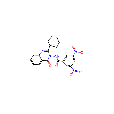 O=C(Nn1c(C2CCCCC2)nc2ccccc2c1=O)c1cc([N+](=O)[O-])cc([N+](=O)[O-])c1Cl